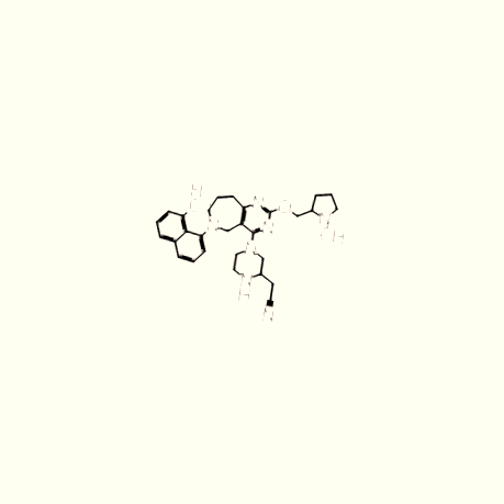 Cc1cccc2cccc(N3CCCc4nc(OCC5CCCN5C)nc(N5CCNC(CC#N)C5)c4C3)c12